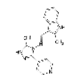 Cc1[nH]c2ccccc2c1/C=N/N1C(c2ccncc2)=NNC1O